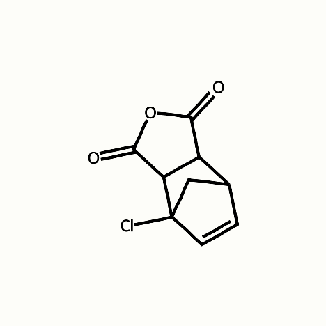 O=C1OC(=O)C2C1C1C=CC2(Cl)C1